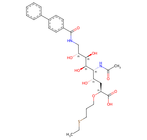 CCSCCCO[C@@H](C[C@H](O)[C@@H](NC(C)=O)[C@@H](O)[C@H](O)[C@H](O)CNC(=O)c1ccc(-c2ccccc2)cc1)C(=O)O